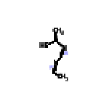 C=C(S)/N=C\N=C/C